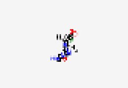 Cc1cc(C(=O)O)cc(F)c1C1=CCN(Cc2cc3c(-n4ccc5c(c4=O)CCN5)ccnc3n2C)CC1